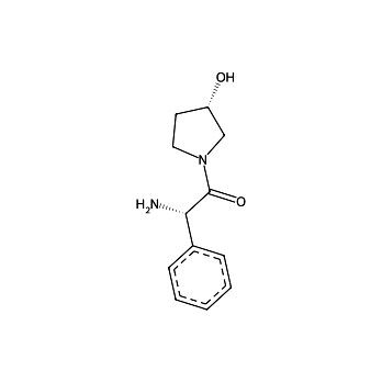 N[C@H](C(=O)N1CC[C@H](O)C1)c1ccccc1